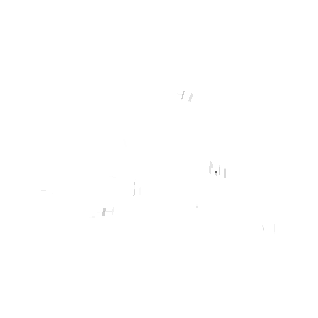 O=C(Nc1c(I)c(CO)c(I)c(NC(=O)C(O)CO)c1I)C(O)CO